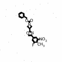 Cc1c(F)cc(-c2coc(C3CN(C(=O)OCc4ccccc4)C3)n2)cc1[N+](=O)[O-]